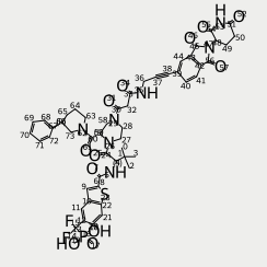 CC(C)(C)[C@H](NC(=O)c1cc2cc(C(F)(F)P(=O)(O)O)ccc2s1)C(=O)N1CCN(C(=O)CC(=O)NCC#Cc2ccc3c(c2)C(=O)N(C2CCC(=O)NC2=O)C3=O)C[C@H]1C(=O)N1CCC[C@H](c2ccccc2)C1